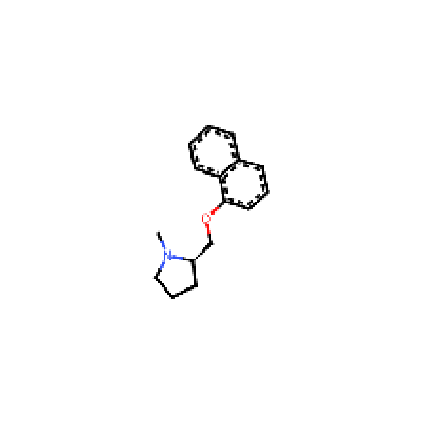 CN1CCC[C@@H]1COc1cccc2ccccc12